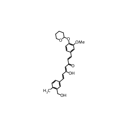 COc1cc(/C=C/C(=O)/C=C(O)/C=C/c2ccc(C)c(CO)c2)ccc1OC1CCCCO1